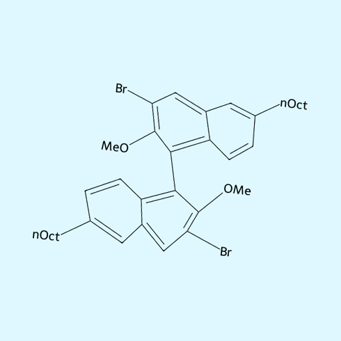 CCCCCCCCc1ccc2c(-c3c(OC)c(Br)cc4cc(CCCCCCCC)ccc34)c(OC)c(Br)cc2c1